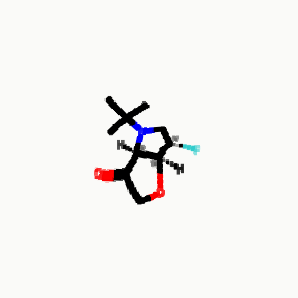 CC(C)(C)N1C[C@H](F)[C@H]2OCC(=O)[C@H]21